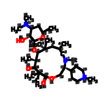 CCN1C[C@H](C)C[C@@](C)(OC)[C@H](O[C@@H]2O[C@H](C)C[C@H](N(C)C)[C@H]2O)[C@@H](C)C(=O)C(C)(C)C(=O)OC[C@H]1C1CCN(C)CC1